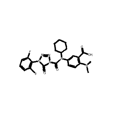 CN(C)c1ccc(N(C(=O)n2nnn(-c3c(F)cccc3F)c2=O)C2CCCCC2)cc1C(=O)O